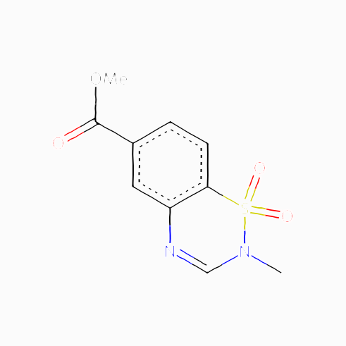 COC(=O)c1ccc2c(c1)N=CN(C)S2(=O)=O